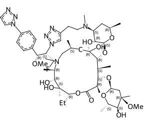 CC[C@H]1OC(=O)[C@H](C)[C@@H](O[C@H]2C[C@@](C)(OC)[C@@H](O)[C@H](C)O2)[C@H](C)[C@@H](O[C@@H]2O[C@H](C)C[C@H](N(C)CCc3cn([C@H](CF)[C@H](OC)c4ccc(-n5ccnn5)cc4)nn3)[C@H]2O)[C@](C)(O)C[C@H](C)CN(C)[C@H](C)[C@@H](O)[C@]1(C)O